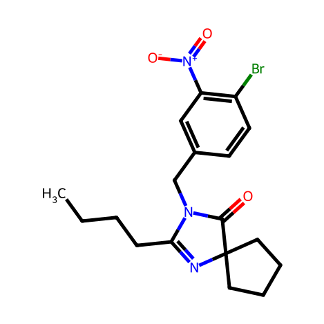 CCCCC1=NC2(CCCC2)C(=O)N1Cc1ccc(Br)c([N+](=O)[O-])c1